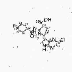 C[C@H](Nc1nc(-c2c[nH]c3ncc(Cl)nc23)ncc1C(=O)O)c1ccc(F)cc1